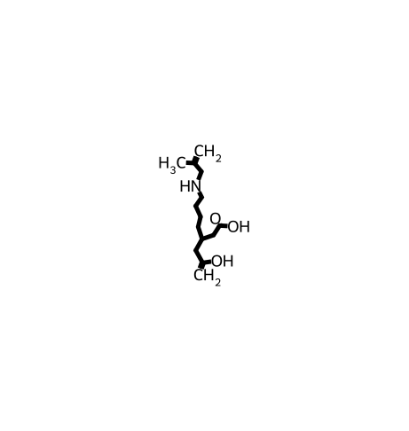 C=C(C)CNCCCCC(CC(=C)O)CC(=O)O